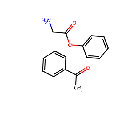 CC(=O)c1ccccc1.NCC(=O)Oc1ccccc1